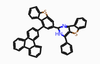 c1ccc(C2=c3sc4ccccc4c3=NC(c3cc(-c4ccc5c6ccccc6c6ccccc6c5c4)c4c(c3)sc3ccccc34)N2)cc1